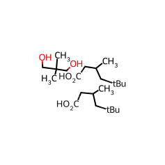 CC(C)(CO)CO.CC(CC(=O)O)CC(C)(C)C.CC(CC(=O)O)CC(C)(C)C